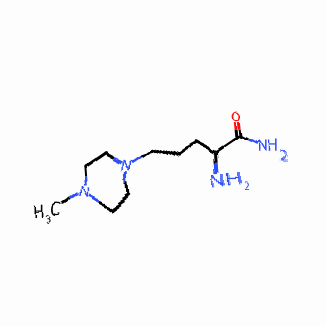 CN1CCN(CCCC(N)C(N)=O)CC1